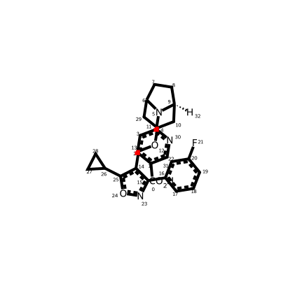 O=C(O)c1ccc(N2C3CC[C@H]2CC(OCc2c(-c4cccc(F)c4)noc2C2CC2)C3)nc1